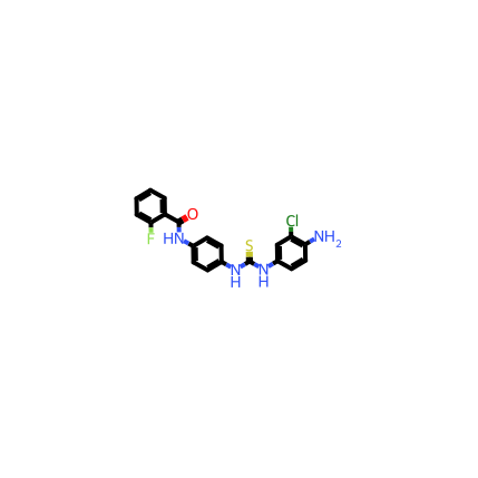 Nc1ccc(NC(=S)Nc2ccc(NC(=O)c3ccccc3F)cc2)cc1Cl